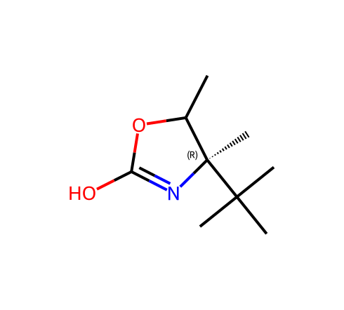 CC1OC(O)=N[C@]1(C)C(C)(C)C